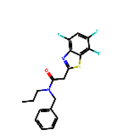 CCCN(Cc1ccccc1)C(=O)Cc1nc2c(F)cc(F)c(F)c2s1